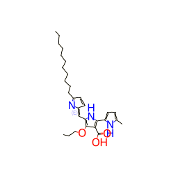 CCCCCCCCCCCC1=N/C(=C/c2[nH]c(-c3ccc(C)[nH]3)c(C(=O)O)c2OCCC)C=C1